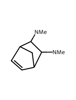 CNC1C2C=CC(C2)C1NC